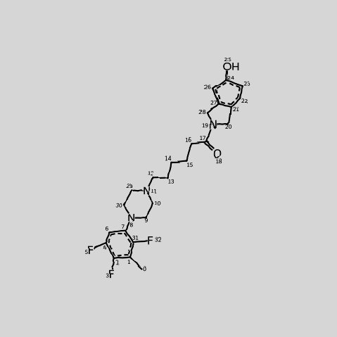 Cc1c(F)c(F)cc(N2CCN(CCCCCC(=O)N3Cc4ccc(O)cc4C3)CC2)c1F